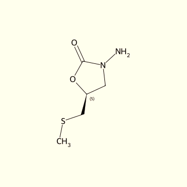 CSC[C@@H]1CN(N)C(=O)O1